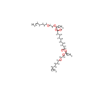 CCCCCCOCCOC(C)OC(=O)CCCCCCCCC(=O)OC(C)OCCOCCCCCC